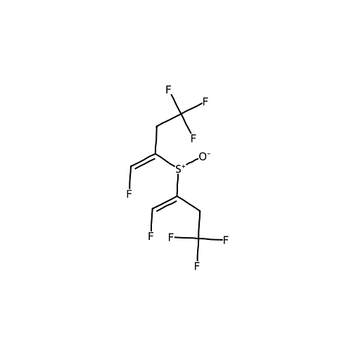 [O-][S+](C(=CF)CC(F)(F)F)C(=CF)CC(F)(F)F